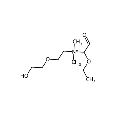 CCOC(C=O)[N+](C)(C)CCOCCO